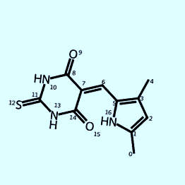 Cc1cc(C)c(C=C2C(=O)NC(=S)NC2=O)[nH]1